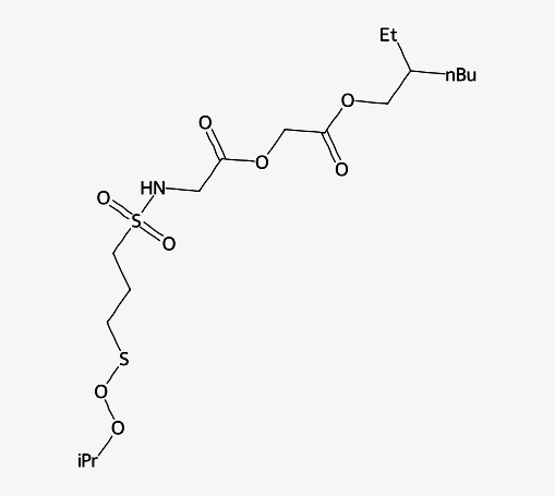 CCCCC(CC)COC(=O)COC(=O)CNS(=O)(=O)CCCSOOC(C)C